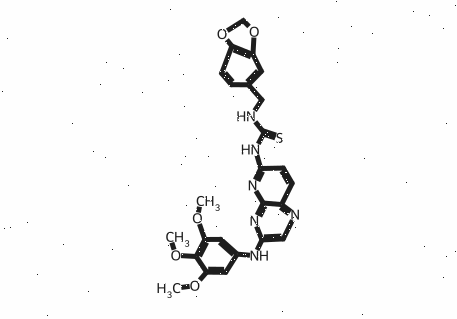 COc1cc(Nc2cnc3ccc(NC(=S)NCc4ccc5c(c4)OCO5)nc3n2)cc(OC)c1OC